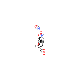 CN(C(=O)OCCN1CCOCC1)[C@H]1CC[C@@]2(C)[C@H](CC[C@@H]3[C@@H]2CC[C@]2(C)[C@@H](c4ccc(=O)oc4)C[C@H]4O[C@]342)C1